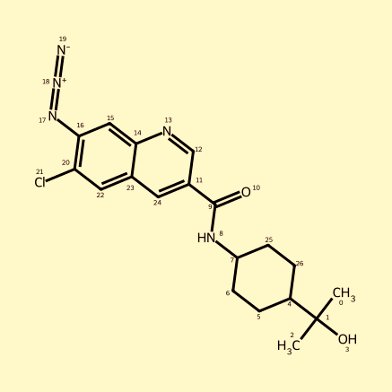 CC(C)(O)C1CCC(NC(=O)c2cnc3cc(N=[N+]=[N-])c(Cl)cc3c2)CC1